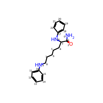 NC(=O)C(CCCCCNc1ccccc1)Nc1ccccc1